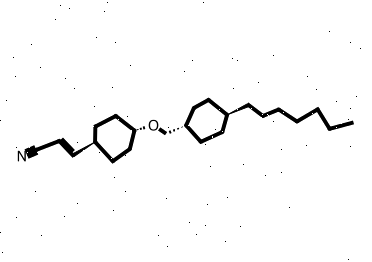 CCCCCCC[C@H]1CC[C@H](CO[C@H]2CC[C@H](C=CC#N)CC2)CC1